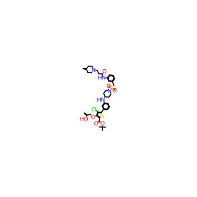 C=C(O)COc1c(C(=O)OC(C)(C)C)sc(-c2cccc(NC3CCN(S(=O)(=O)Cc4cccc(NC(=O)CCN5CCC(=C)CC5)c4)CC3)c2)c1Cl